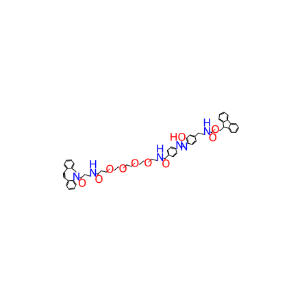 O=C(CCOCCOCCOCCOCCNC(=O)c1ccc(/N=N/c2ccc(CCNC(=O)OCC3c4ccccc4-c4ccccc43)cc2O)cc1)NCCC(=O)N1Cc2ccccc2C#Cc2ccccc21